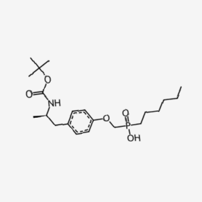 CCCCCCP(=O)(O)COc1ccc(C[C@@H](C)NC(=O)OC(C)(C)C)cc1